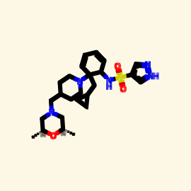 C[C@@H]1CN(CC2CCN(C3(CC4CC4)C=CC=CC3NS(=O)(=O)c3cn[nH]c3)CC2)C[C@H](C)O1